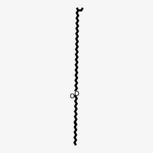 CCCCCCCCC=CCCCCCCCCCC(=O)OCCCCCCCCCCCCCCCCCCCCCCCCCCCCCCCC(C)CC